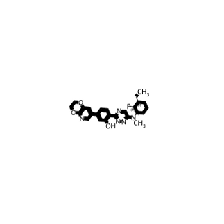 CC[C@@H]1CCC[C@H](N(C)c2cnc(-c3ccc(-c4cnc5c(c4)OCCO5)cc3O)nn2)[C@@H]1F